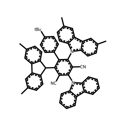 Cc1ccc2c(c1)-c1cc(C)ccc1C2c1c(C#N)c(-n2c3ccccc3c3ccccc32)c(C#N)c(-n2c3ccc(C)cc3c3cc(C)ccc32)c1-c1ccc(C(C)(C)C)cc1